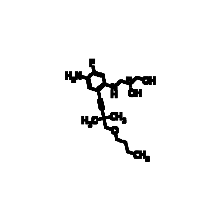 CCCCOCC(C)(C)C#Cc1cc(N)c(F)cc1NC[C@@H](O)CO